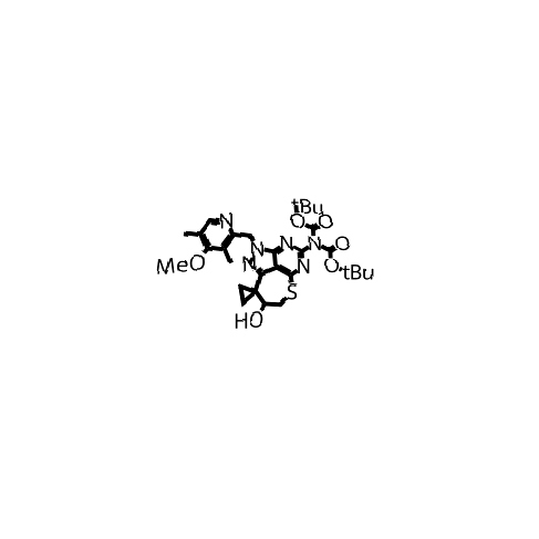 COc1c(C)cnc(Cn2nc3c4c(nc(N(C(=O)OC(C)(C)C)C(=O)OC(C)(C)C)nc42)SCC(O)C32CC2)c1C